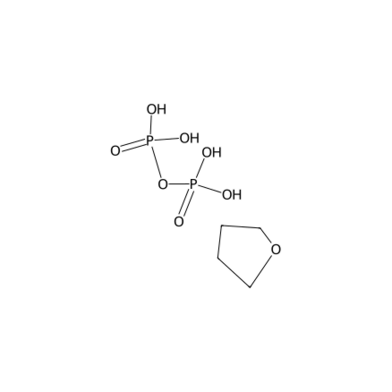 C1CCOC1.O=P(O)(O)OP(=O)(O)O